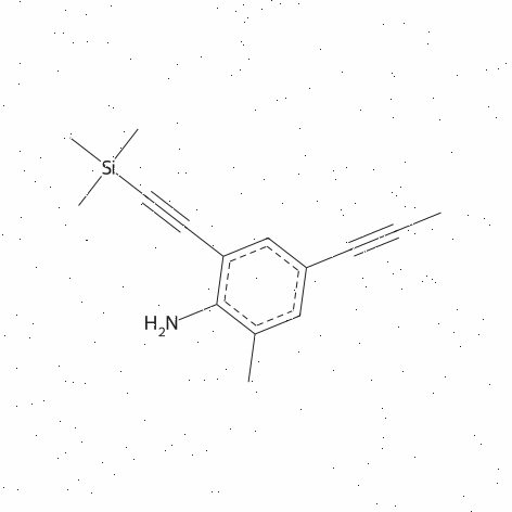 CC#Cc1cc(C)c(N)c(C#C[Si](C)(C)C)c1